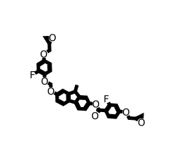 CC1c2cc(OCOc3ccc(OCC4CO4)cc3F)ccc2-c2ccc(OC(=O)c3ccc(OCC4CO4)cc3F)cc21